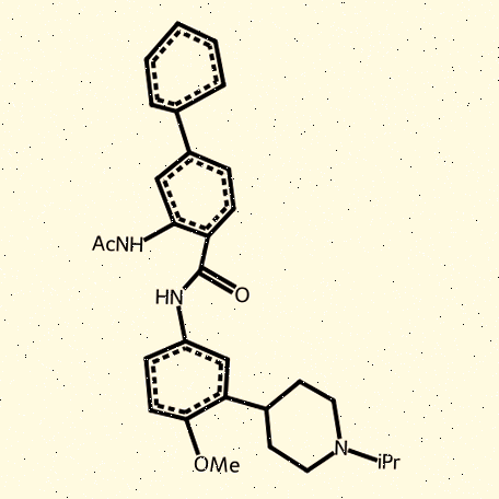 COc1ccc(NC(=O)c2ccc(-c3ccccc3)cc2NC(C)=O)cc1C1CCN(C(C)C)CC1